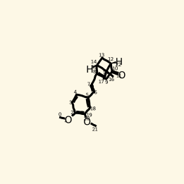 COc1ccc(/C=C/C2=CC(=O)[C@H]3C[C@@H]2C3(C)C)cc1OC